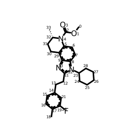 COC(=O)N1c2ccc3c(nc(CCc4ccc(C)c(F)c4)n3C3CCCCC3)c2CC[C@@H]1C